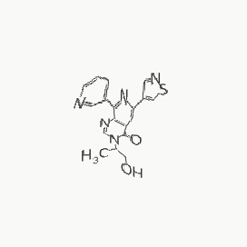 CC(CO)n1cnc2c(-c3cccnc3)nc(-c3cnsc3)cc2c1=O